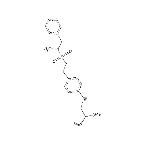 COC(CNc1ccc(CCS(=O)(=O)N(C)Cc2ccccc2)cc1)OC